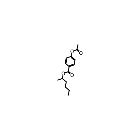 CCCCC(C)OC(=O)c1ccc(OC(C)=O)cc1